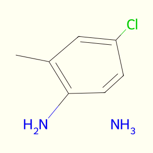 Cc1cc(Cl)ccc1N.N